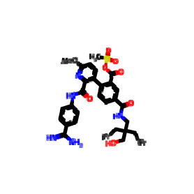 COc1ccc(-c2ccc(C(=O)NCC(CO)(CC(C)C)CC(C)C)cc2C(=O)OS(C)(=O)=O)c(C(=O)Nc2ccc(C(=N)N)cc2)n1